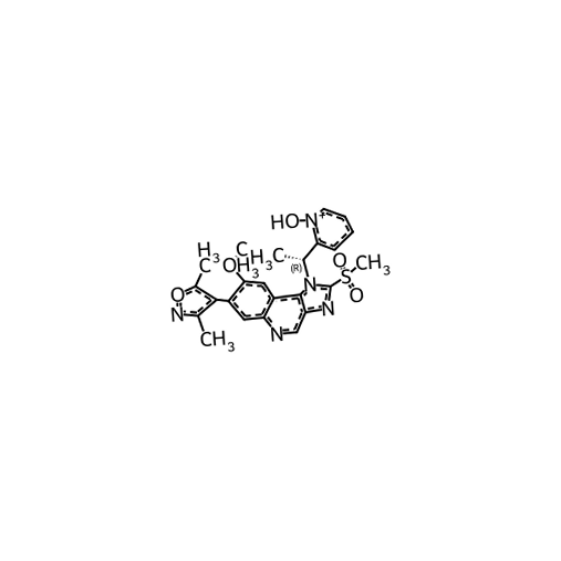 COc1cc2c(cc1-c1c(C)noc1C)ncc1nc(S(C)(=O)=O)n([C@H](C)c3cccc[n+]3O)c12